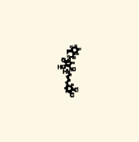 O=C(NCCCCc1ccc(Cl)c(Cl)c1)C1=C(O)C(=O)N(CCc2ccccc2F)C1